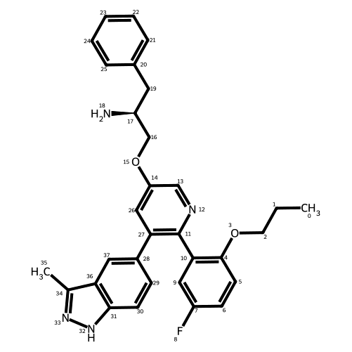 CCCOc1ccc(F)cc1-c1ncc(OC[C@@H](N)Cc2ccccc2)cc1-c1ccc2[nH]nc(C)c2c1